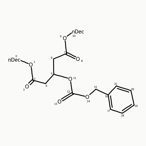 CCCCCCCCCCOC(=O)CC(CC(=O)OCCCCCCCCCC)OC(=O)OCc1ccccc1